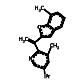 C=C(c1cc2cccc(C)c2o1)c1ncc(C(C)C)cc1C